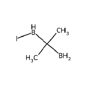 BC(C)(C)BI